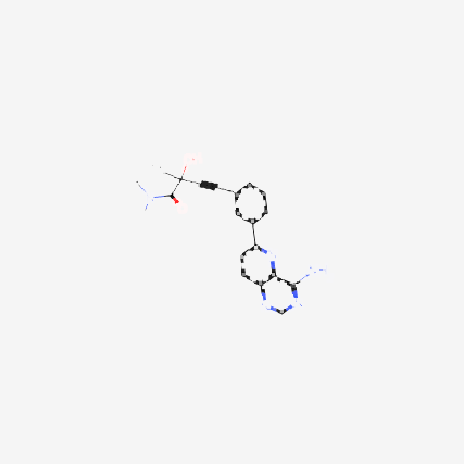 CCN(C)C(=O)C(O)(C#Cc1cccc(-c2ccc3ncnc(N)c3n2)c1)CC